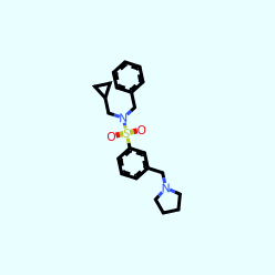 O=S(=O)(c1cccc(CN2CCCC2)c1)N(Cc1ccccc1)CC1CC1